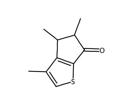 Cc1csc2c1C(C)C(C)C2=O